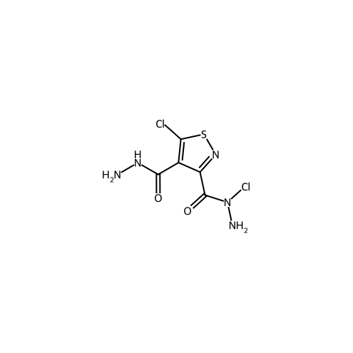 NNC(=O)c1c(C(=O)N(N)Cl)nsc1Cl